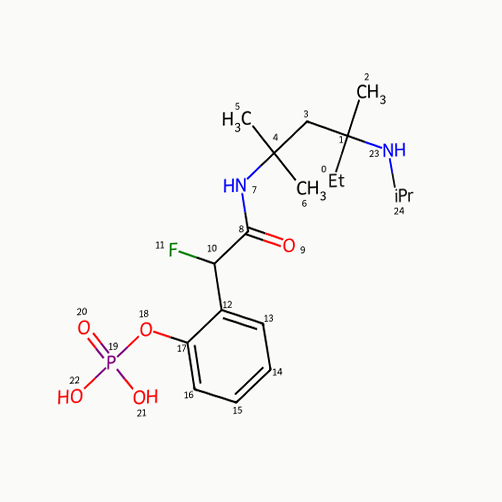 CCC(C)(CC(C)(C)NC(=O)C(F)c1ccccc1OP(=O)(O)O)NC(C)C